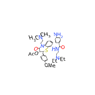 CCN(CC)CCNC(=O)c1ccc(N)cc1.COc1ccc([C@@H]2Sc3ccccc3N(CCN(C)C)C(=O)[C@@H]2OC(C)=O)cc1